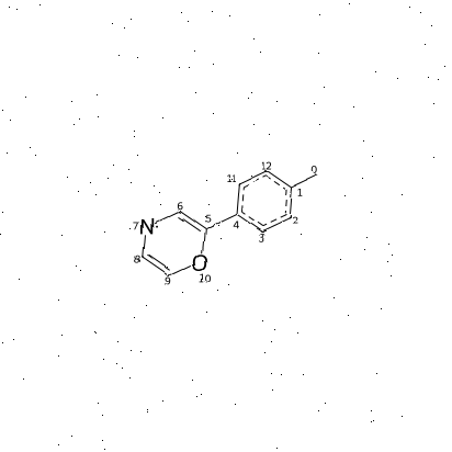 Cc1ccc(C2=C[N]C=CO2)cc1